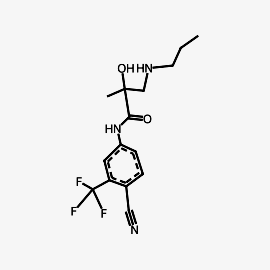 CCCNCC(C)(O)C(=O)Nc1ccc(C#N)c(C(F)(F)F)c1